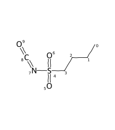 CCCCS(=O)(=O)N=C=O